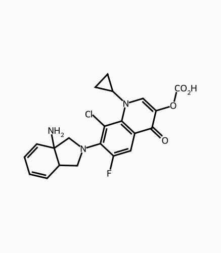 NC12C=CC=CC1CN(c1c(F)cc3c(=O)c(OC(=O)O)cn(C4CC4)c3c1Cl)C2